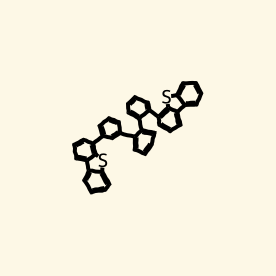 c1cc(-c2ccccc2-c2ccccc2-c2cccc3c2sc2ccccc23)cc(-c2cccc3c2sc2ccccc23)c1